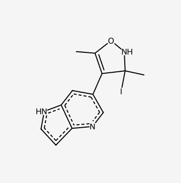 CC1=C(c2cnc3cc[nH]c3c2)C(C)(I)NO1